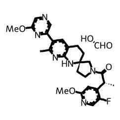 COc1cc([C@@H](C)C(=O)N2CC[C@@]3(CCc4cc(-c5cncc(OC)n5)c(C)nc4N3)C2)c(F)cn1.O=CO